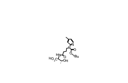 Cc1ccnc(N(CCCC(=O)N[C@H](C(=O)O)[C@@H](C)O)C(=O)OC(C)(C)C)c1